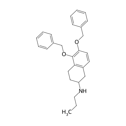 CCCNC1CCc2c(ccc(OCc3ccccc3)c2OCc2ccccc2)C1